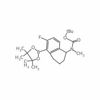 CN(C(=O)OC(C)(C)C)C1CCCc2c1ccc(F)c2B1OC(C)(C)C(C)(C)O1